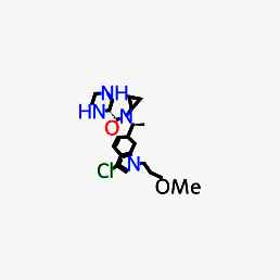 COCCCn1cc(Cl)c2c1CC([C@H](C)N(C(=O)[C@H]1CNCCN1)C1CC1)C=C2